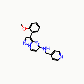 COc1ccccc1-c1cnn2ccc(NCc3ccncc3)nc12